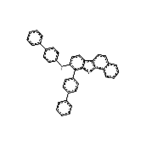 c1ccc(-c2ccc(Nc3ccc4c(oc5c6ccccc6ccc45)c3-c3ccc(-c4ccccc4)cc3)cc2)cc1